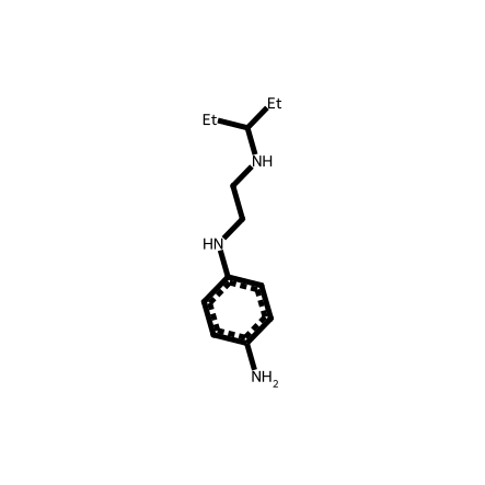 CCC(CC)NCCNc1ccc(N)cc1